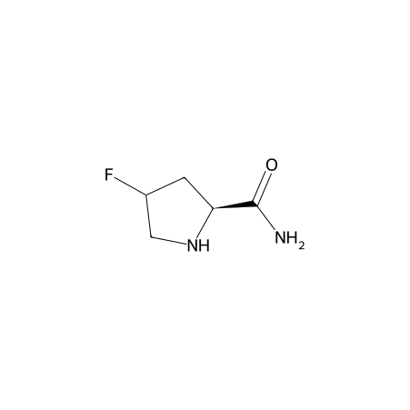 NC(=O)[C@@H]1CC(F)CN1